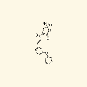 [2H]C1([2H])CN(C(=O)/C=C/c2cccc(Oc3ccccc3)c2)C(=O)O1